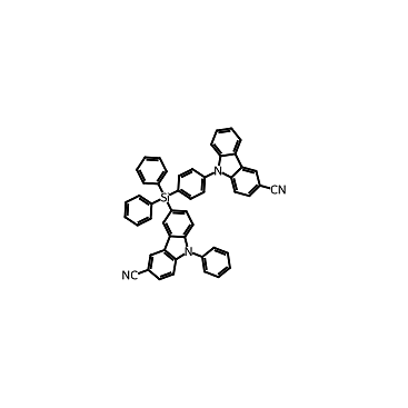 N#Cc1ccc2c(c1)c1ccccc1n2-c1ccc([Si](c2ccccc2)(c2ccccc2)c2ccc3c(c2)c2cc(C#N)ccc2n3-c2ccccc2)cc1